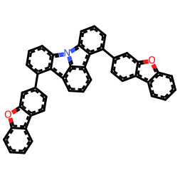 c1ccc2c(c1)oc1cc(-c3cccc4c3c3cccc5c6c(-c7ccc8c(c7)oc7ccccc78)cccc6n4c35)ccc12